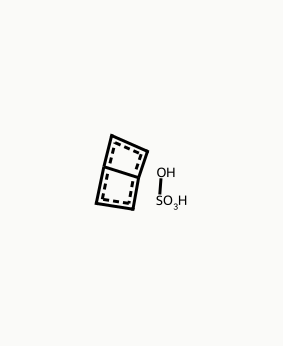 O=S(=O)(O)O.c1cc2ccc1-2